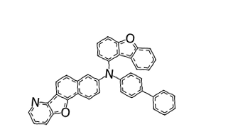 c1ccc(-c2ccc(N(c3ccc4c(ccc5c6ncccc6oc45)c3)c3cccc4oc5ccccc5c34)cc2)cc1